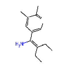 C=C(C)/C(C)=C\C(=C/C)C(N)=C(CC)CC